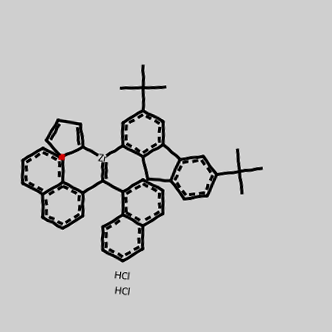 CC(C)(C)c1ccc2c(c1)-c1cc(C(C)(C)C)c[c]([Zr]([C]3=CC=CC3)=[C](c3cccc4ccccc34)c3cccc4ccccc34)c1C2.Cl.Cl